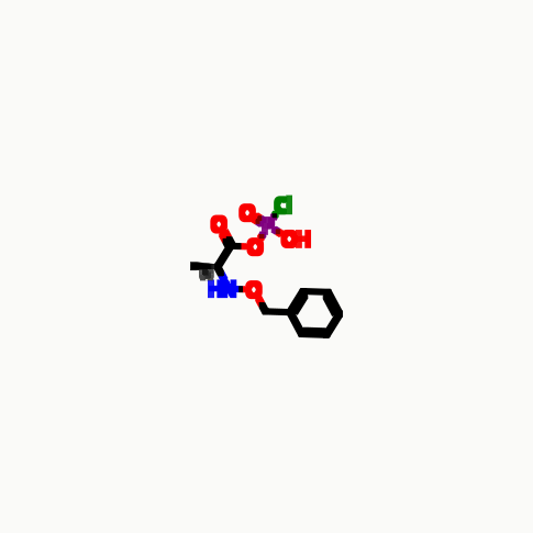 C[C@H](NOCc1ccccc1)C(=O)OP(=O)(O)Cl